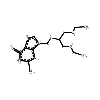 CCOCC(COCC)OCn1cnc2c(=O)[nH]c(N)nc21